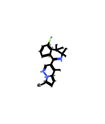 Cc1c(C2=NC(C)(C)C(C)(C)c3c(F)cccc32)cnn2c(C#N)ccc12